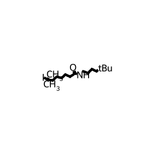 CC(C)(C)CCCCNC(=O)CCCCCC(C)(C)I